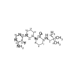 CC(C)(C)CNC1CCCN(C2CCCN(c3ncnc(N)c3F)C2)C1=O